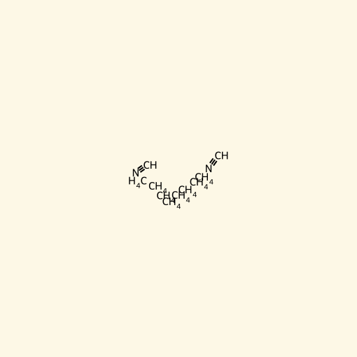 C.C.C.C.C.C.C.C.C#N.C#N